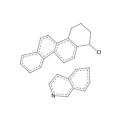 ClC1CCCc2c1ccc1c2ccc2ccccc21.c1ccc2cnccc2c1